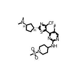 CN(C)[C@@H]1CC[C@@H](c2nc(C(F)(F)F)c(-c3nc(NC4CCN(S(C)(=O)=O)CC4)ncc3F)s2)C1